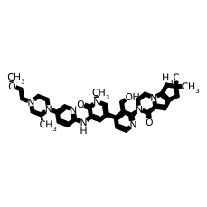 COCCN1CCN(c2ccc(Nc3cc(-c4ccnc(N5CCn6c(cc7c6CC(C)(C)C7)C5=O)c4CO)cn(C)c3=O)nc2)[C@@H](C)C1